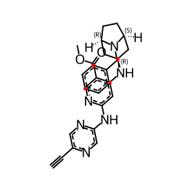 C#Cc1cnc(Nc2cc(N[C@H]3C[C@H]4CC[C@@H](C3)N4Cc3ccccc3)c(C(=O)OC)cn2)cn1